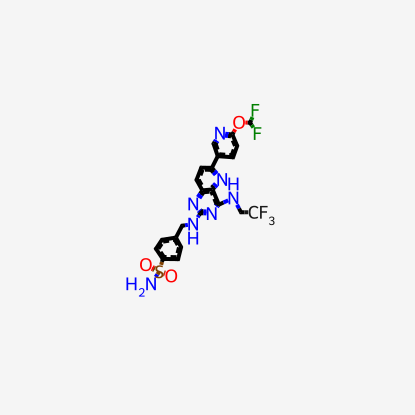 NS(=O)(=O)c1ccc(CNc2nc(NCC(F)(F)F)c3nc(-c4ccc(OC(F)F)nc4)ccc3n2)cc1